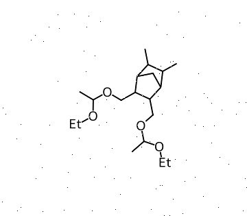 CCOC(C)OCC1C2CC(C(C)C2C)C1COC(C)OCC